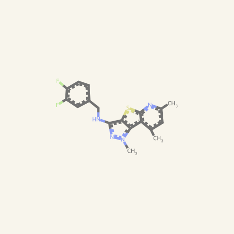 Cc1cc(C)c2c(n1)sc1c(NCc3ccc(F)c(F)c3)nn(C)c12